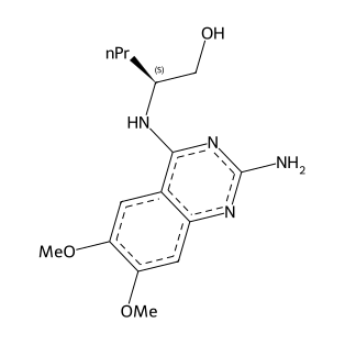 CCC[C@@H](CO)Nc1nc(N)nc2cc(OC)c(OC)cc12